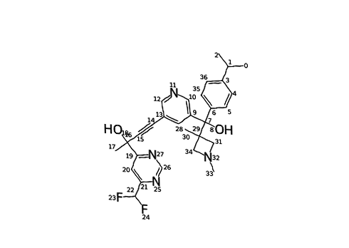 CC(C)c1ccc(C(O)(c2cncc(C#CC(C)(O)c3cc(C(F)F)ncn3)c2)C2(C)CN(C)C2)cc1